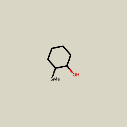 CSC1CCCCC1O